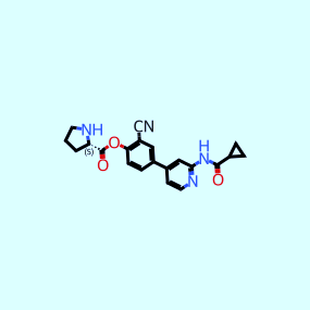 N#Cc1cc(-c2ccnc(NC(=O)C3CC3)c2)ccc1OC(=O)[C@@H]1CCCN1